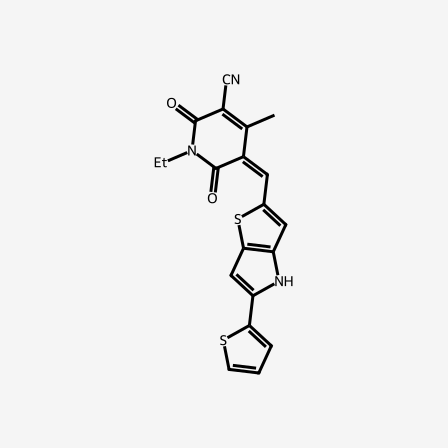 CCN1C(=O)C(C#N)=C(C)/C(=C/c2cc3[nH]c(-c4cccs4)cc3s2)C1=O